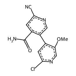 COc1cnc(Cl)cc1-c1cnc(C#N)cc1C(N)=O